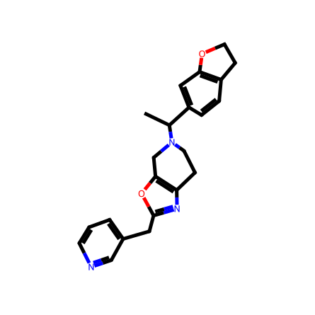 CC(c1ccc2c(c1)OCC2)N1CCc2nc(Cc3cccnc3)oc2C1